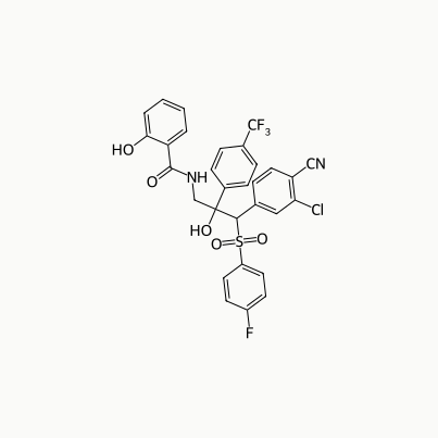 N#Cc1ccc(C(C(O)(CNC(=O)c2ccccc2O)c2ccc(C(F)(F)F)cc2)S(=O)(=O)c2ccc(F)cc2)cc1Cl